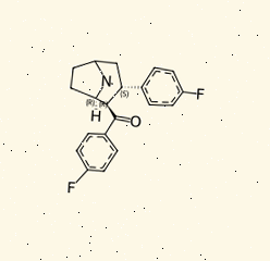 CN1C2CC[C@@H]1[C@H](C(=O)c1ccc(F)cc1)[C@@H](c1ccc(F)cc1)C2